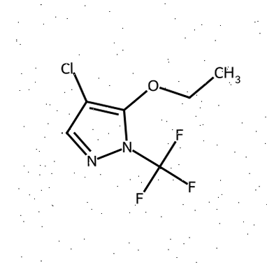 CCOc1c(Cl)[c]nn1C(F)(F)F